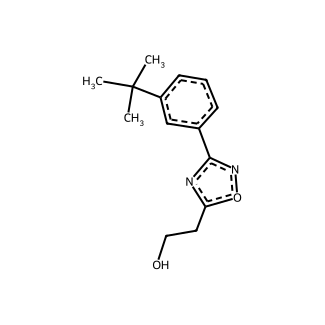 CC(C)(C)c1cccc(-c2noc(CCO)n2)c1